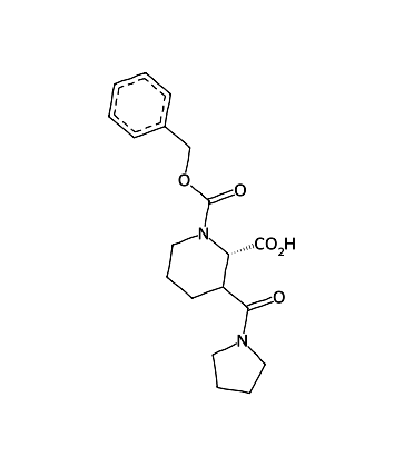 O=C(O)[C@@H]1C(C(=O)N2CCCC2)CCCN1C(=O)OCc1ccccc1